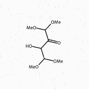 COC(OC)C(=O)C(O)C(OC)OC